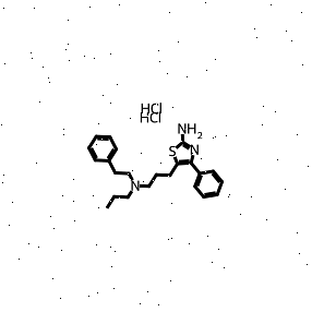 CCCN(CCCc1sc(N)nc1-c1ccccc1)CCc1ccccc1.Cl.Cl